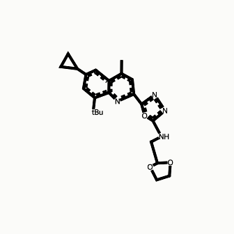 Cc1cc(-c2nnc(NCC3OCCO3)o2)nc2c(C(C)(C)C)cc(C3CC3)cc12